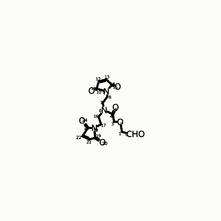 O=CCOCC(=O)N(CCN1C(=O)C=CC1=O)CCN1C(=O)C=CC1=O